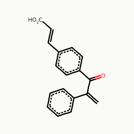 C=C(C(=O)c1ccc(C=CC(=O)O)cc1)c1ccccc1